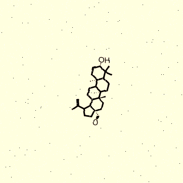 C=C(C)C1CC[C@]2(C=O)CC[C@]3(C)C(CCC4[C@@]5(C)CC[C@H](O)C(C)(C)C5CC[C@]43C)C12